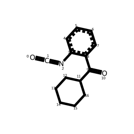 O=C=Nc1ccccc1C(=O)C1CCCCC1